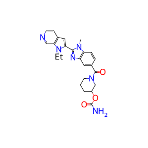 CCn1c(-c2nc3cc(C(=O)N4CCCC(OC(N)=O)C4)ccc3n2C)cc2ccncc21